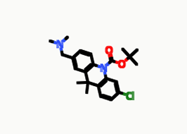 CN(C)Cc1ccc2c(c1)C(C)(C)c1ccc(Cl)cc1N2C(=O)OC(C)(C)C